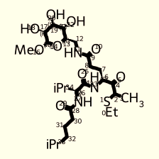 CCSC(C)C(=O)[C@H](CCC(=O)NC[C@H]1O[C@@H](OC)[C@H](O)[C@@H](O)[C@@H]1O)NC(=O)[C@@H](NC(=O)CCCC(C)C)C(C)C